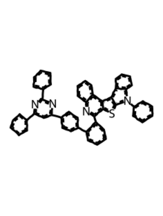 c1ccc(-c2cc(-c3ccc(-c4ccccc4-c4nc5ccccc5c5c4sc4c5c5ccccc5n4-c4ccccc4)cc3)nc(-c3ccccc3)n2)cc1